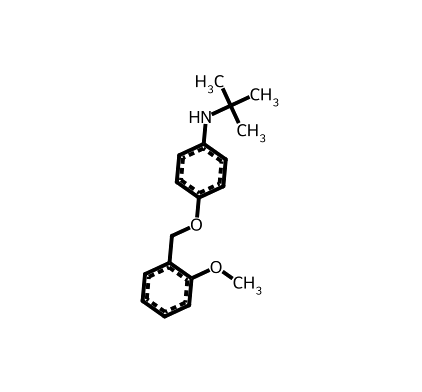 COc1ccccc1COc1ccc(NC(C)(C)C)cc1